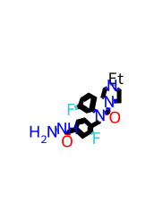 CCN1CCN(C(=O)N(Cc2ccc(C(=O)NN)cc2F)c2cccc(F)c2)CC1